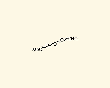 COCCOCCOCCOCCC=O